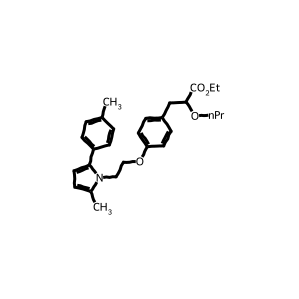 CCCOC(Cc1ccc(OCCn2c(C)ccc2-c2ccc(C)cc2)cc1)C(=O)OCC